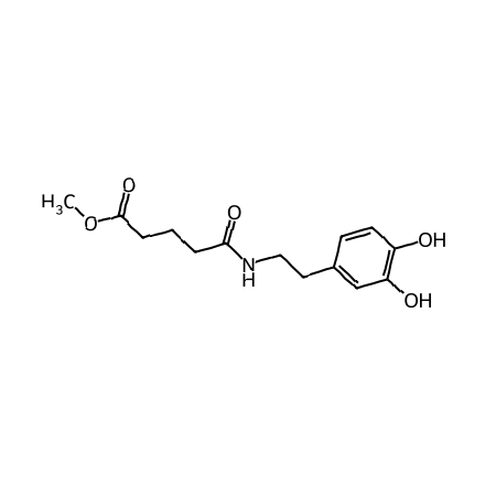 COC(=O)CCCC(=O)NCCc1ccc(O)c(O)c1